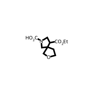 CCOC(=O)C1CN(C(=O)O)CC12CCOC2